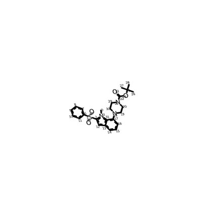 Cn1c(S(=O)(=O)c2ccccc2)cc2cccc(N3CCN(C(=O)OC(C)(C)C)CC3)c21